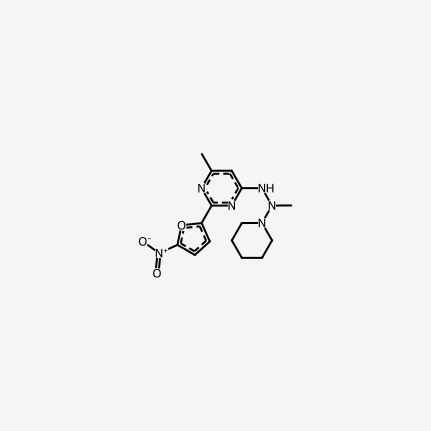 Cc1cc(NN(C)N2CCCCC2)nc(-c2ccc([N+](=O)[O-])o2)n1